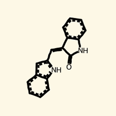 O=C1Nc2ccccc2/C1=C/c1cc2ccccc2[nH]1